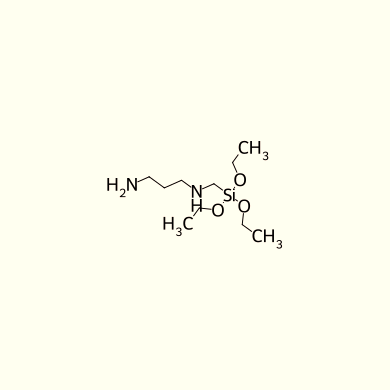 CCO[Si](CNCCCN)(OCC)OCC